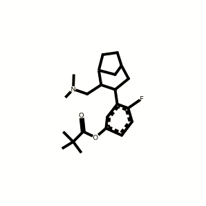 CN(C)CC1C2CCC(C2)CC1c1cc(OC(=O)C(C)(C)C)ccc1F